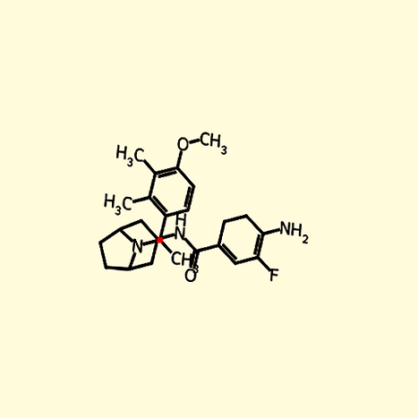 COc1ccc(C(C)N2C3CCC2CC(NC(=O)C2=CC(F)=C(N)CC2)C3)c(C)c1C